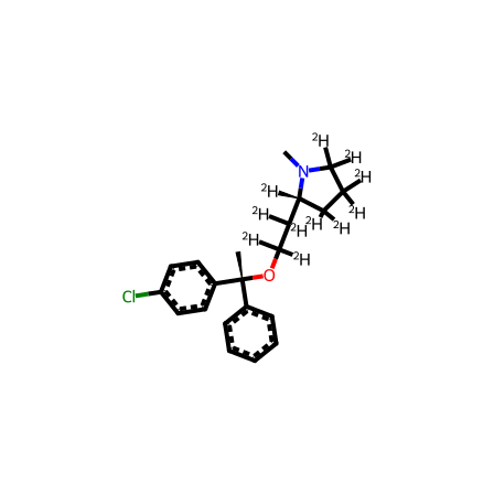 [2H]C([2H])(O[C@](C)(c1ccccc1)c1ccc(Cl)cc1)C([2H])([2H])[C@]1([2H])N(C)C([2H])([2H])C([2H])([2H])C1([2H])[2H]